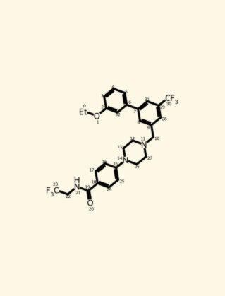 CCOc1cccc(-c2cc(CN3CCN(c4ccc(C(=O)NCC(F)(F)F)cc4)CC3)cc(C(F)(F)F)c2)c1